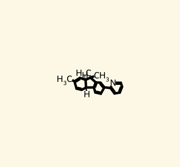 CC1=C[C@H]2[C@@H](C=C1)c1ccc(-c3ccccn3)cc1C2(C)C